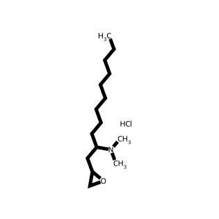 CCCCCCCCCC(CC1CO1)N(C)C.Cl